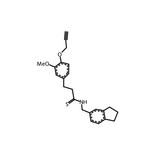 C#CCOc1ccc(CCC(=S)NCc2ccc3c(c2)CCC3)cc1OC